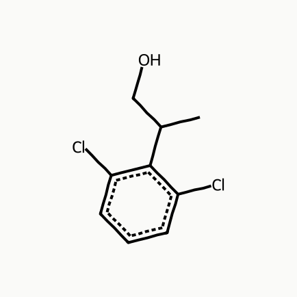 CC(CO)c1c(Cl)cccc1Cl